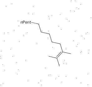 CCCCCCCCCCC(C)=C(C)C